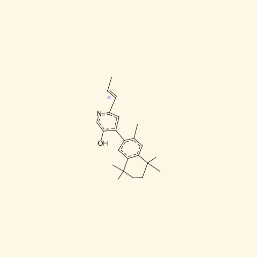 C/C=C/c1cc(-c2cc3c(cc2C)C(C)(C)CCC3(C)C)c(O)cn1